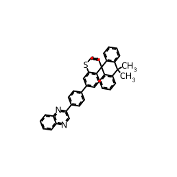 CC1(C)c2ccccc2C2(c3ccccc3Sc3cc(-c4ccc(-c5cnc6ccccc6n5)cc4)ccc32)c2ccccc21